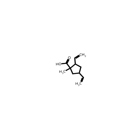 C=CC1CC(C=C)C(C)(C(=O)O)C1